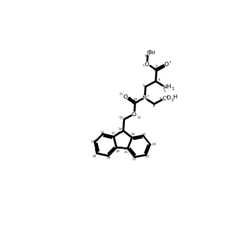 CC(C)(C)OC(=O)C(N)CN(CC(=O)O)C(=O)OCC1c2ccccc2-c2ccccc21